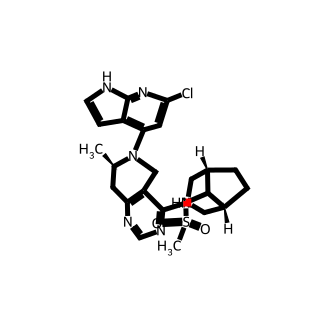 C[C@@H]1Cc2ncnc(N3C[C@H]4CC[C@@H](C3)C4NS(C)(=O)=O)c2CN1c1cc(Cl)nc2[nH]ccc12